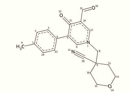 Cc1ccc(-c2cn(CC3(C#N)CCOCC3)cc(C=O)c2=O)cc1